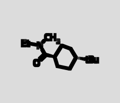 CCN(C)C(=O)[C@H]1CC[C@H](C(C)(C)C)CC1